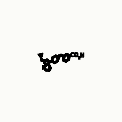 O=C(O)c1cccc(CN2CCC(c3cn(CC4CC4)c4ncccc34)CC2)c1